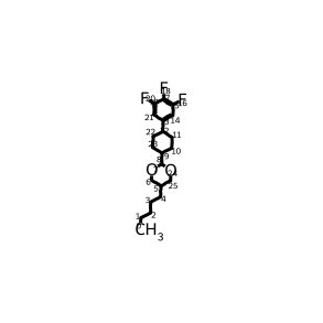 CCCCCC1COC(C2CCC(c3cc(F)c(F)c(F)c3)CC2)OC1